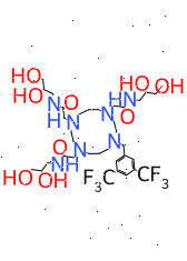 O=C(CN1CCCN(CC(=O)NCC(O)CO)CCN(Cc2cc(C(F)(F)F)cc(C(F)(F)F)c2)CCCN(CC(=O)NCC(O)CO)CC1)NCC(O)CO